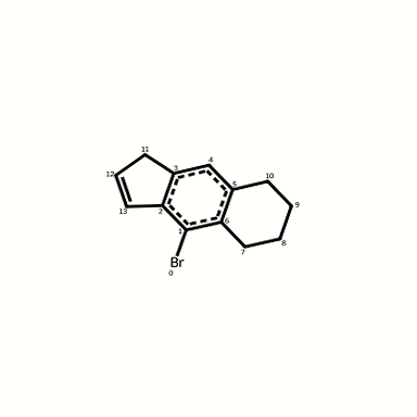 Brc1c2c(cc3c1CCCC3)CC=C2